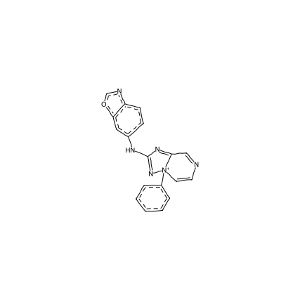 C1=C[N+]2(c3ccccc3)N=C(Nc3ccc4ncoc4c3)N=C2C=N1